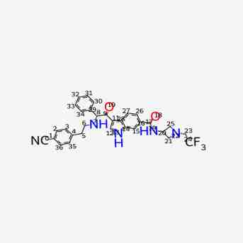 N#Cc1ccc(CCNC(C(=O)c2c[nH]c3cc(C(=O)NC4CN(CC(F)(F)F)C4)ccc23)c2ccccc2)cc1